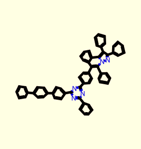 c1ccc(-c2ccc(-c3ccc(-c4nc(-c5ccccc5)nc(-c5ccc(-c6c(-c7ccccc7)n7nc(-c8ccccc8)c(-c8ccccc8)c7c7ccccc67)cc5)n4)cc3)cc2)cc1